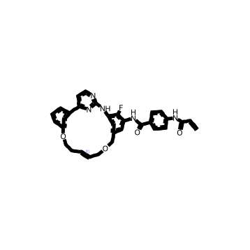 C=CC(=O)Nc1ccc(C(=O)Nc2cc3cc(c2F)Nc2nccc(n2)-c2cccc(c2)OCC/C=C/COC3)cc1